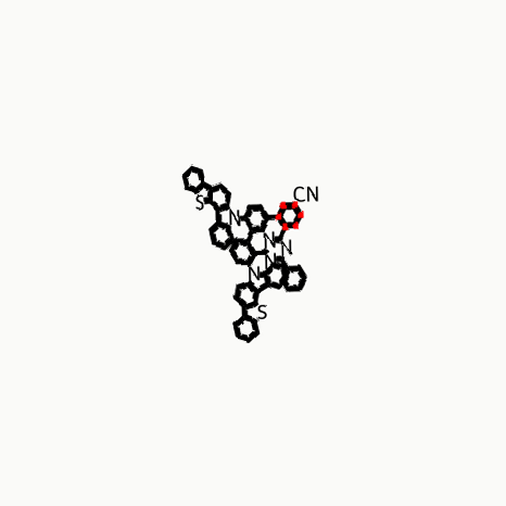 N#Cc1cccc(-c2ccc(-n3c4ccccc4c4c5sc6ccccc6c5ccc43)c(-c3cccc(-n4c5ccccc5c5c6sc7ccccc7c6ccc54)c3-c3nc(-c4ccccc4)nc(-c4ccccc4)n3)c2)c1